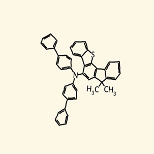 CC1(C)c2ccccc2-c2c1cc(N(c1ccc(-c3ccccc3)cc1)c1ccc(-c3ccccc3)cc1)c1c2sc2ccccc21